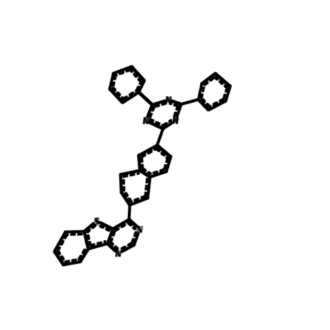 c1ccc(-c2nc(-c3ccccc3)nc(-c3ccc4cc(-c5ncnc6c5sc5ccccc56)ccc4c3)n2)cc1